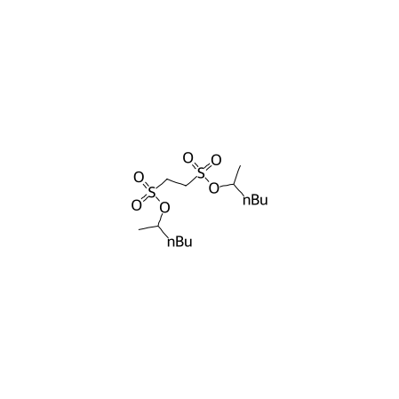 CCCCC(C)OS(=O)(=O)CCS(=O)(=O)OC(C)CCCC